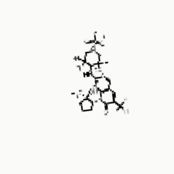 [2H]C(F)(F)c1cc2cnc(NC3C([2H])([2H])CN(S(C)(=O)=O)CC3([2H])[2H])nc2n([C@@H]2CCC[C@@]2(C)O)c1=O